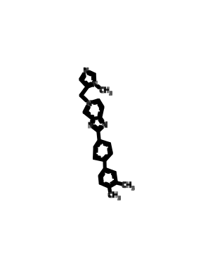 Cc1ccc(-c2ccc(-c3nc4ccn(Cc5cncn5C)cc-4n3)cc2)cc1C